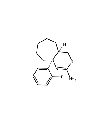 NC1=N[C@@]2(c3ccccc3F)CCCCC[C@H]2CS1